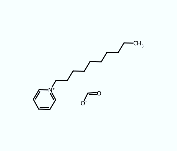 CCCCCCCCCC[n+]1ccccc1.O=C[O-]